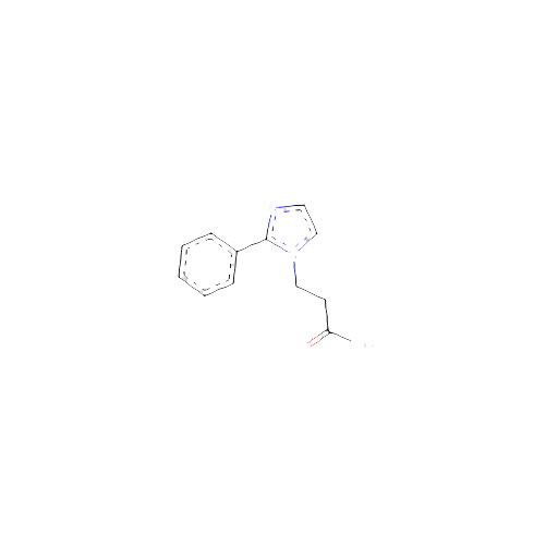 CC(C)COC(=O)CCn1ccnc1-c1ccccc1